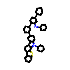 c1ccc(Nc2cc(-c3ccccc3)ccc2-c2cccc(-c3ccc4c(c3)c3ccc5c6ccccc6sc5c3n4-c3ccccc3)c2)cc1